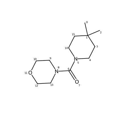 CC1(C)CCN(C(=O)N2CCOCC2)CC1